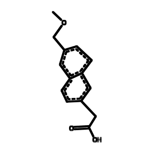 COCc1ccc2cc(CC(=O)O)ccc2c1